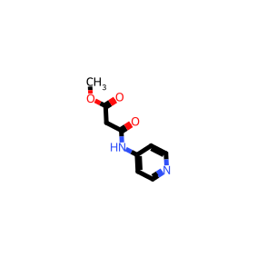 COC(=O)CC(=O)Nc1ccncc1